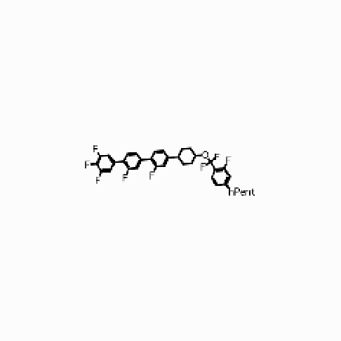 CCCCCc1ccc(C(F)(F)OC2CCC(c3ccc(-c4ccc(-c5cc(F)c(F)c(F)c5)c(F)c4)c(F)c3)CC2)c(F)c1